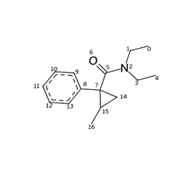 CCN(CC)C(=O)C1(c2ccccc2)CC1C